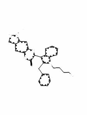 CC(=O)On1ncc2cc3[nH]c(=O)c(-c4c(Cc5ccccc5)n(CCCCN)c5ccccc45)nc3cc21